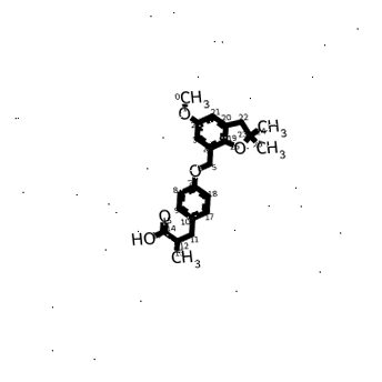 COc1cc(COc2ccc(CC(C)C(=O)O)cc2)c2c(c1)CC(C)(C)O2